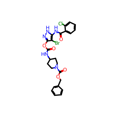 O=C(NC1CCN(C(=O)OCc2ccccc2)CC1)Oc1n[nH]c(NC(=O)c2ccccc2Cl)c1Br